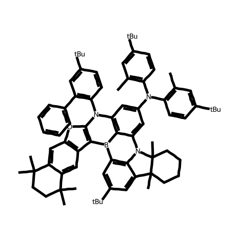 Cc1cc(C(C)(C)C)ccc1N(c1cc2c3c(c1)N1c4c(cc(C(C)(C)C)cc4C4(C)CCCCC14C)B3c1c(oc3cc4c(cc13)C(C)(C)CCC4(C)C)N2c1ccc(C(C)(C)C)cc1-c1ccccc1)c1ccc(C(C)(C)C)cc1C